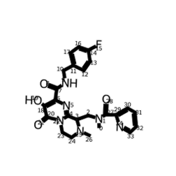 CN(CC1c2nc(C(=O)NCc3ccc(F)cc3)c(O)c(=O)n2CCN1C)C(=O)c1ccccn1